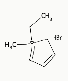 Br.CCP1(C)=CC=CC1